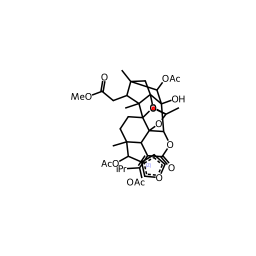 COC(=O)CC1C2(C)CC34OC5(C)OC67C(/C(=C(/OC(C)=O)C(C)C)C(=O)OC6C3(O)C2OC(C)=O)C(C)(C(OC(C)=O)c2ccoc2)CCC7(O5)C14C